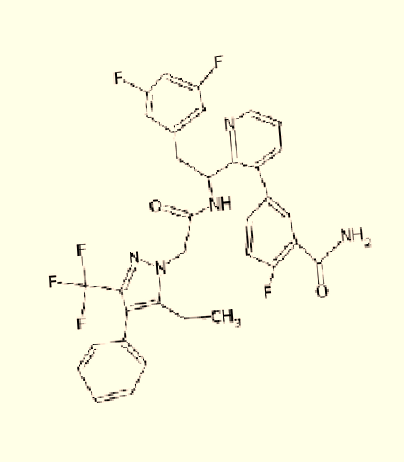 CCc1c(-c2ccccc2)c(C(F)(F)F)nn1CC(=O)NC(Cc1cc(F)cc(F)c1)c1ncccc1-c1ccc(F)c(C(N)=O)c1